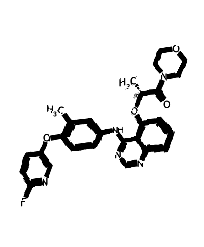 Cc1cc(Nc2ncnc3cccc(O[C@H](C)C(=O)N4CCOCC4)c23)ccc1Oc1ccc(F)nc1